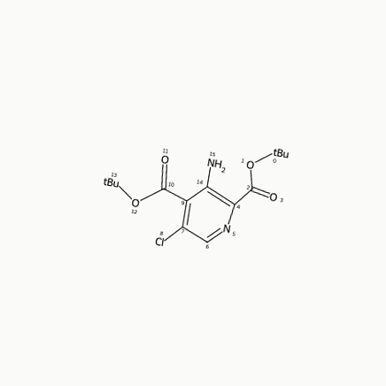 CC(C)(C)OC(=O)c1ncc(Cl)c(C(=O)OC(C)(C)C)c1N